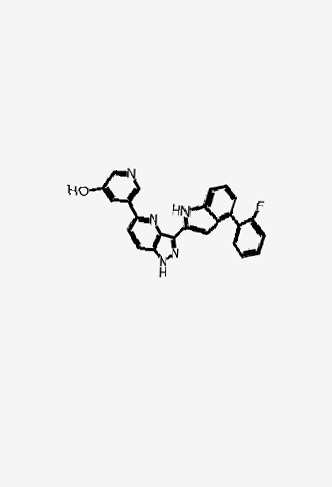 Oc1cncc(-c2ccc3[nH]nc(-c4cc5c(-c6ccccc6F)cccc5[nH]4)c3n2)c1